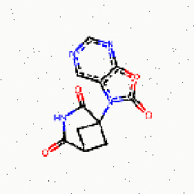 O=C1NC(=O)C2(n3c(=O)oc4ncncc43)CC1C2